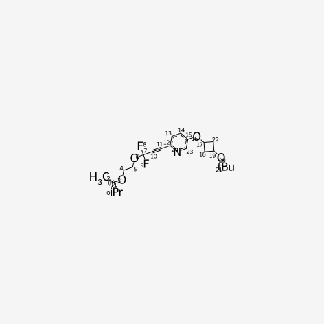 CC(C)[C@@H](C)OCCOC(F)(F)C#Cc1ccc(OC2CC(OC(C)(C)C)C2)cn1